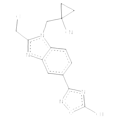 Cc1nc(-c2ccc3c(c2)nc(CCl)n3CC2(C#N)CC2)no1